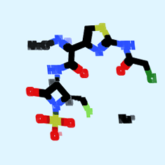 CO/N=C(\C(=O)N[C@H]1C(=O)N(S(=O)(=O)[O-])[C@H]1CF)c1csc(NC(=O)CCl)n1.[Na+]